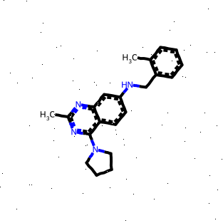 Cc1nc(N2CCCC2)c2ccc(NCc3ccccc3C)cc2n1